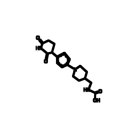 O=C(O)NCC1CCN(c2ccc(C3CCC(=O)NC3=O)cc2)CC1